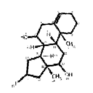 C[C@]12CCCC=C1CC(O)[C@@H]1[C@H]2CC(O)[C@]2(C)CC(F)C[C@@H]12